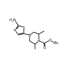 CC1CN(c2cnc(N)s2)CC(C)N1C(=O)OC(C)(C)C